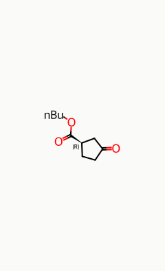 CCCCOC(=O)[C@@H]1CCC(=O)C1